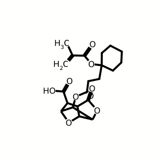 C=C(C)C(=O)OC1(CCC(=O)OC2C3OC(=O)C4C3OC2C4C(=O)O)CCCCC1